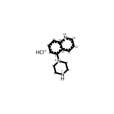 Cl.c1cc(N2CCNCC2)c2cccnc2c1